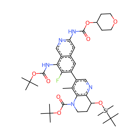 Cc1c(-c2cc3cc(NC(=O)OC4CCOCC4)ncc3c(NC(=O)OC(C)(C)C)c2F)cnc2c1N(C(=O)OC(C)(C)C)CCC2O[Si](C)(C)C(C)(C)C